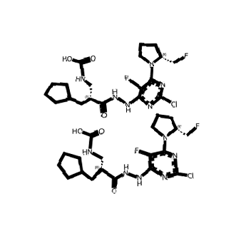 O=C(O)NC[C@@H](CC1CCCC1)C(=O)NNc1nc(Cl)nc(N2CCC[C@@H]2CF)c1F.O=C(O)NC[C@@H](CC1CCCC1)C(=O)NNc1nc(Cl)nc(N2CCC[C@@H]2CF)c1F